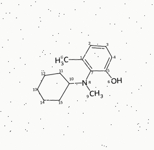 Cc1cccc(O)c1N(C)C1CCCCC1